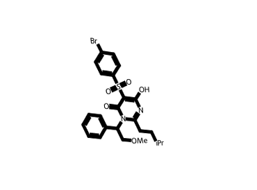 COCC(c1ccccc1)n1c(CCC(C)C)nc(O)c(S(=O)(=O)c2ccc(Br)cc2)c1=O